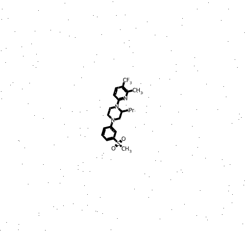 Cc1nc(N2CCN(c3cccc(S(C)(=O)=O)c3)CC2C(C)C)ccc1C(F)(F)F